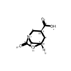 O=C(O)[C@H]1C[C@H]2CN(C1)C(=O)O2